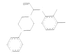 Cc1cccc(OC(C=O)N2CCN(c3ccncc3)CC2)c1C